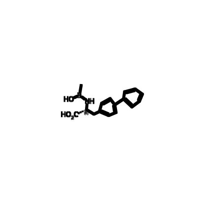 CB(O)N[C@H](Cc1ccc(-c2ccccc2)cc1)C(=O)O